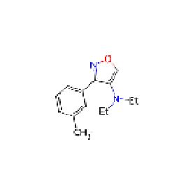 [CH2]c1cccc(-c2nocc2N(CC)CC)c1